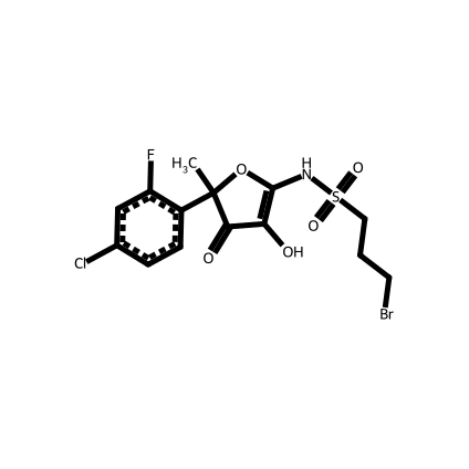 CC1(c2ccc(Cl)cc2F)OC(NS(=O)(=O)CCCBr)=C(O)C1=O